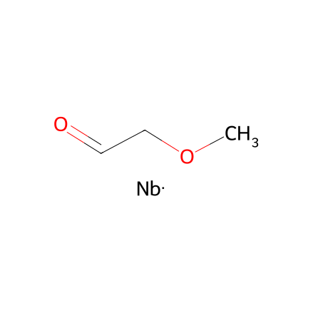 COCC=O.[Nb]